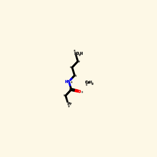 CC(C)CC(=O)NCCCS(=O)(=O)O.[CaH2]